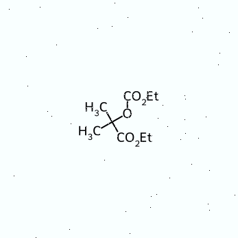 CCOC(=O)OC(C)(C)C(=O)OCC